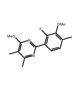 COc1nc(-c2ccc(I)c(OC)c2F)nc(C)c1C